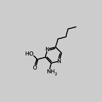 CCCCc1cnc(N)c(C(=O)O)n1